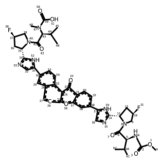 COC(=O)N[C@H](C(=O)N1C[C@H](F)C[C@H]1c1ncc(-c2ccc3c(=O)c4c(ccc5cc(-c6cnc([C@@H]7C[C@@H](F)CN7C(=O)[C@H](C(C)C)N(C)C(=O)O)[nH]6)ccc54)oc3c2)[nH]1)C(C)C